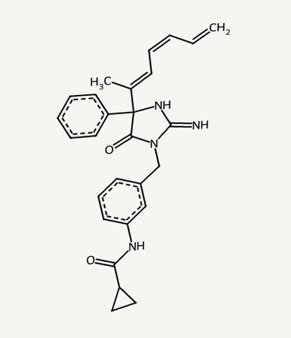 C=C/C=C\C=C(/C)C1(c2ccccc2)NC(=N)N(Cc2cccc(NC(=O)C3CC3)c2)C1=O